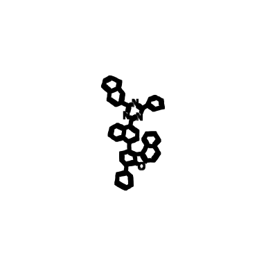 c1ccc(-c2nc(-c3ccc4ccccc4c3)nc(-c3ccc(-c4ccc(-c5ccccc5)c5oc6ccc7ccccc7c6c45)c4ccccc34)n2)cc1